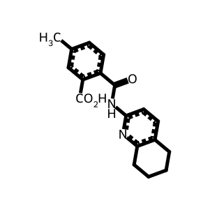 Cc1ccc(C(=O)Nc2ccc3c(n2)CCCC3)c(C(=O)O)c1